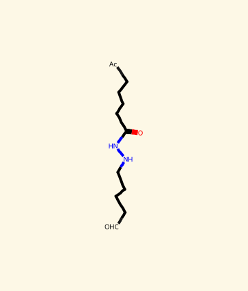 CC(=O)CCCCC(=O)NNCCCCC=O